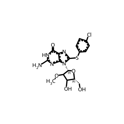 COC1C(O)[C@@H](CO)O[C@H]1n1c(Sc2ccc(Cl)cc2)nc2c(=O)[nH]c(N)nc21